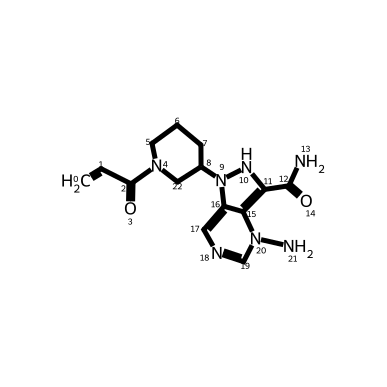 C=CC(=O)N1CCCC(N2NC(C(N)=O)=C3C2=CN=CN3N)C1